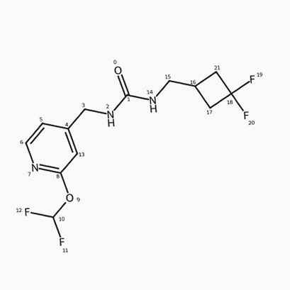 O=C(NCc1ccnc(OC(F)F)c1)NCC1CC(F)(F)C1